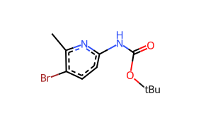 Cc1nc(NC(=O)OC(C)(C)C)ccc1Br